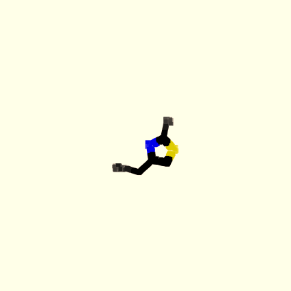 CCc1nc(CC(C)(C)C)cs1